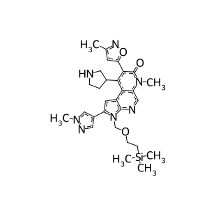 Cc1cc(-c2c(C3CCNC3)c3c4cc(-c5cnn(C)c5)n(COCC[Si](C)(C)C)c4ncc3n(C)c2=O)on1